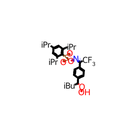 CCC(C)C(OO)c1ccc(/C(=N\OS(=O)(=O)c2c(C(C)C)cc(C(C)C)cc2C(C)C)C(F)(F)F)cc1